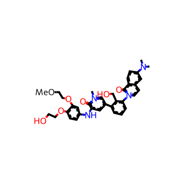 COCCOc1cc(Nc2cc(-c3cccc(-n4ccc5cc(N(C)C)ccc5c4=O)c3CO)cn(C)c2=O)ccc1OCCO